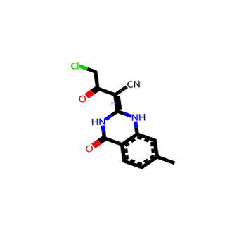 Cc1ccc2c(c1)N/C(=C(\C#N)C(=O)CCl)NC2=O